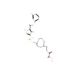 CCNC(=O)C(=O)CCC1CCCC(NS(=O)(=O)c2cn(C)c(C(=O)Nc3cccc(C(F)(F)F)c3)c2F)CC1